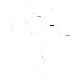 CC(=O)N[C@H]1C(CCCCO)O[C@H](CO)[C@H](O)[C@@H]1O